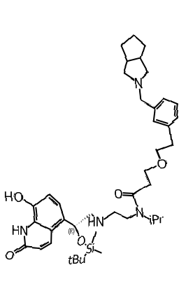 CC(C)N(CCNC[C@H](O[Si](C)(C)C(C)(C)C)c1ccc(O)c2[nH]c(=O)ccc12)C(=O)CCOCCc1cccc(CN2CC3CCCC3C2)c1